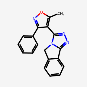 Cc1onc(-c2ccccc2)c1-c1nnc2n1Cc1ccccc1-2